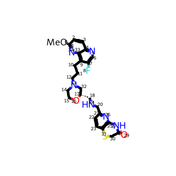 COc1ccc2ncc(F)c(CCCN3CCO[C@@H](CNCc4ccc5c(n4)NC(=O)CS5)C3)c2n1